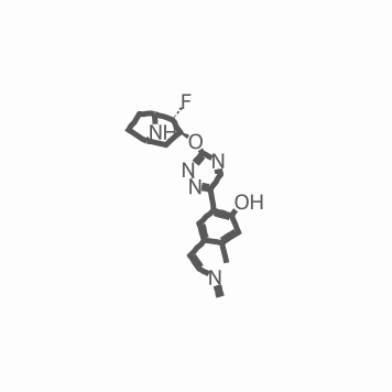 C=N/C=C\c1cc(-c2cnc(O[C@H]3CC4CCC(N4)[C@@H]3F)nn2)c(O)cc1C